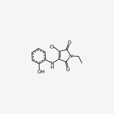 CCN1C(=O)C(Cl)=C(Nc2ccccc2O)C1=O